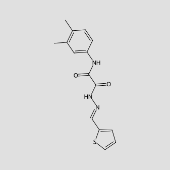 Cc1ccc(NC(=O)C(=O)N/N=C/c2cccs2)cc1C